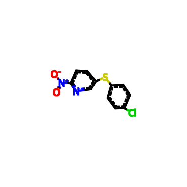 O=[N+]([O-])c1ccc(Sc2ccc(Cl)cc2)cn1